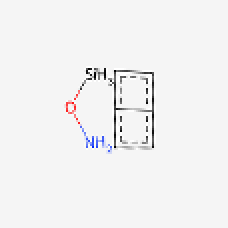 NO[SiH3].c1cc2ccc1-2